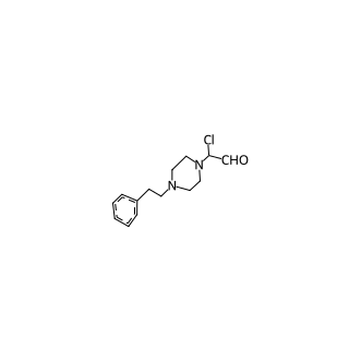 O=CC(Cl)N1CCN(CCc2ccccc2)CC1